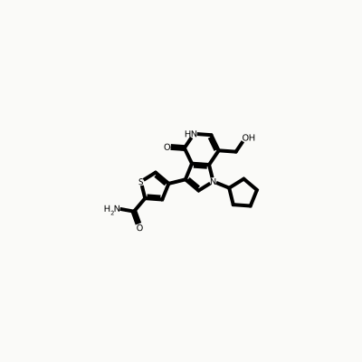 NC(=O)c1cc(-c2cn(C3CCCC3)c3c(CO)c[nH]c(=O)c23)cs1